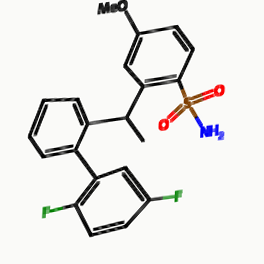 COc1ccc(S(N)(=O)=O)c(C(C)c2ccccc2-c2cc(F)ccc2F)c1